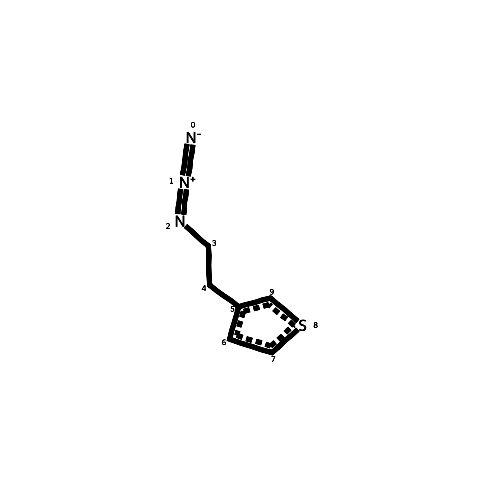 [N-]=[N+]=NCCc1ccsc1